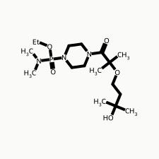 CCOP(=O)(N(C)C)N1CCN(C(=O)C(C)(C)OCCC(C)(C)O)CC1